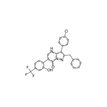 O=c1c(-c2ccc(C(F)(F)F)cc2O)c[nH]c2c(-c3ccc(Cl)cc3)c(Cc3ccccc3)nn12